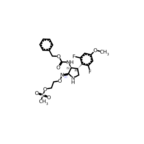 COc1cc(F)c([C@@H]2CN/C(=N\OCCOS(C)(=O)=O)[C@H]2NC(=O)OCc2ccccc2)c(F)c1